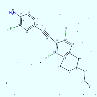 CCCC1CCc2c(cc(F)c(C#Cc3ccc(N)c(F)c3)c2F)C1